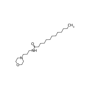 CCCCCCCCCCCCC(=O)NCCCN1CCOCC1